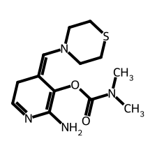 CN(C)C(=O)OC1=C(N)N=CCC1=CN1CCSCC1